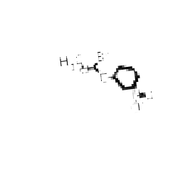 COC(Br)Oc1cccc([N+](=O)[O-])c1